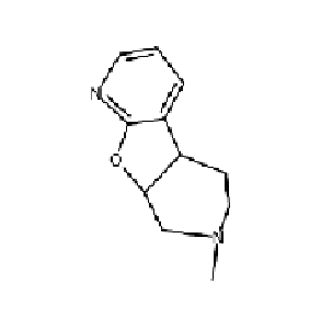 CN1CCC2c3cccnc3OC2C1